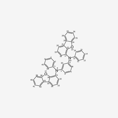 c1ccc(N(c2cccc(N(c3ccccc3)c3cccc4c3oc3ccccc34)c2)c2cccc3c2oc2ccccc23)cc1